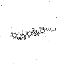 CCOC(=O)c1ccc(C(=O)NS(=O)(=O)c2ccc(C(=O)NCCc3ccccc3OC)cc2)cn1